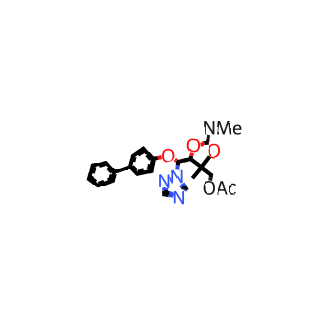 CNC(=O)OC(C(Oc1ccc(-c2ccccc2)cc1)n1cncn1)C(C)(C)COC(C)=O